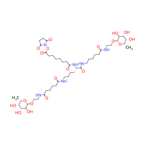 C[C@@H]1O[C@@H](OCCNC(=O)CCCCCNC(=O)[C@H](CCCCNC(=O)CCCCC(=O)NCCO[C@@H]2O[C@@H](C)[C@@H](O)[C@@H](O)[C@@H]2O)NC(=O)CCCCCCC(=O)ON2C(=O)CCC2=O)[C@@H](O)[C@H](O)[C@@H]1O